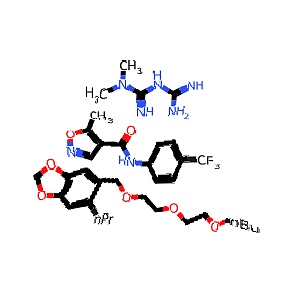 CCCCOCCOCCOCc1cc2c(cc1CCC)OCO2.CN(C)C(=N)NC(=N)N.Cc1oncc1C(=O)Nc1ccc(C(F)(F)F)cc1